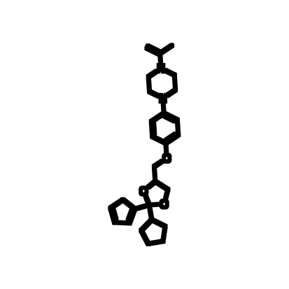 C=C(C)N1CCN(c2ccc(OCC3COC(C4=CC=CC4)(C4CCCC4)O3)cc2)CC1